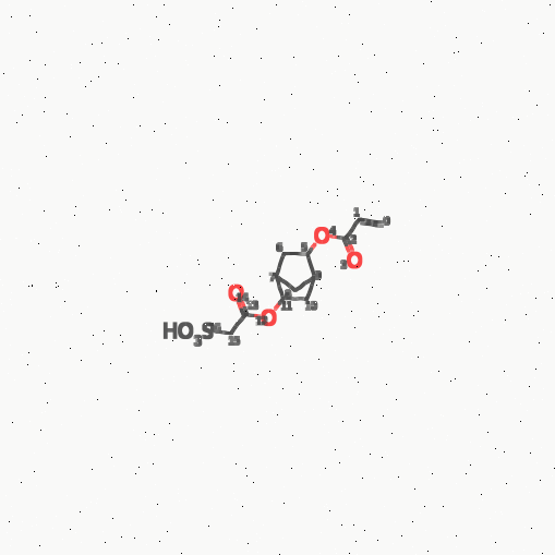 C=CC(=O)OC1CC2CC1CC2OC(=O)CS(=O)(=O)O